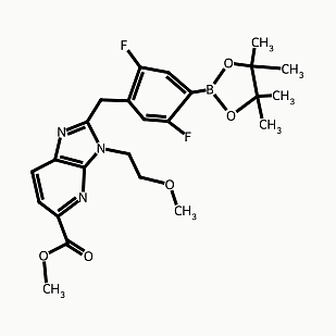 COCCn1c(Cc2cc(F)c(B3OC(C)(C)C(C)(C)O3)cc2F)nc2ccc(C(=O)OC)nc21